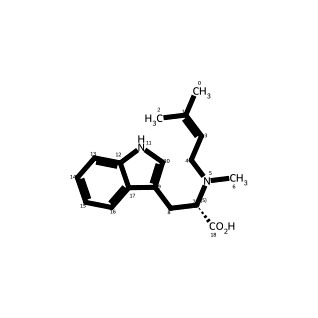 CC(C)=CCN(C)[C@@H](Cc1c[nH]c2ccccc12)C(=O)O